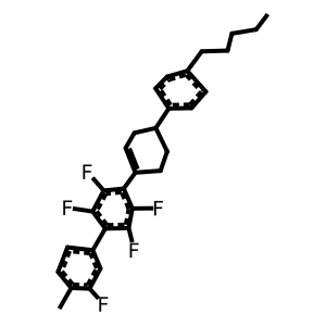 CCCCCc1ccc(C2CC=C(c3c(F)c(F)c(-c4ccc(C)c(F)c4)c(F)c3F)CC2)cc1